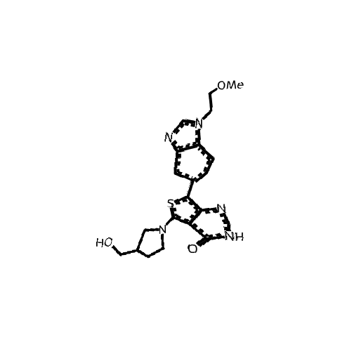 COCCn1cnc2cc(-c3sc(N4CCC(CO)C4)c4c(=O)[nH]cnc34)ccc21